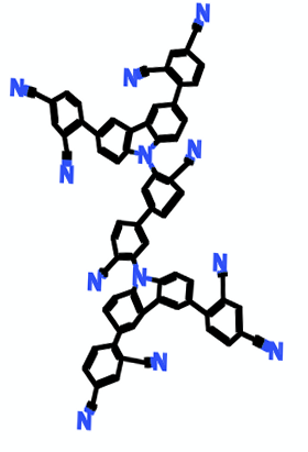 N#Cc1ccc(-c2ccc3c(c2)c2cc(-c4ccc(C#N)cc4C#N)ccc2n3-c2cc(-c3ccc(C#N)c(-n4c5ccc(-c6ccc(C#N)cc6C#N)cc5c5cc(-c6ccc(C#N)cc6C#N)ccc54)c3)ccc2C#N)c(C#N)c1